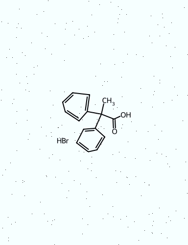 Br.CC(C(=O)O)(c1ccccc1)c1ccccc1